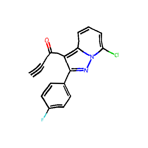 C#CC(=O)c1c(-c2ccc(F)cc2)nn2c(Cl)cccc12